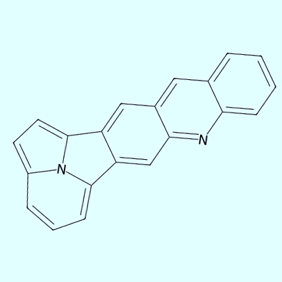 c1ccc2nc3cc4c(cc3cc2c1)c1ccc2cccc4n21